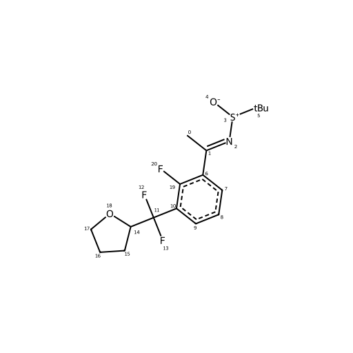 C/C(=N\[S+]([O-])C(C)(C)C)c1cccc(C(F)(F)C2CCCO2)c1F